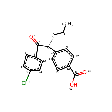 CCC[C@@H](C(=O)c1ccc(Cl)cc1)c1ccc(C(=O)O)cc1